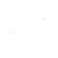 [Np+5].[Np+5].[O-2].[O-2].[O-2].[O-2].[O-2].[Pu].[Pu].[U].[U]